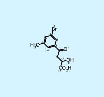 Cc1cc(Br)cc(C(=O)CC(O)C(=O)O)c1